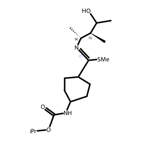 CS/C(=N\[C@H](C)[C@H](C)C(C)O)C1CCC(NC(=O)OC(C)C)CC1